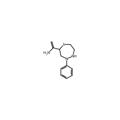 C=C(N)C1CN(c2ccccc2)NCCS1